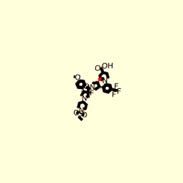 CC[C@H]1CN(C(=O)[C@]2(F)CN(C3CCN(S(=O)(=O)CC)CC3)C[C@H]2c2ccc(OC)cc2)C[C@@H]1c1ccc(C(F)(F)F)cc1N1CCC(C(=O)O)CC1